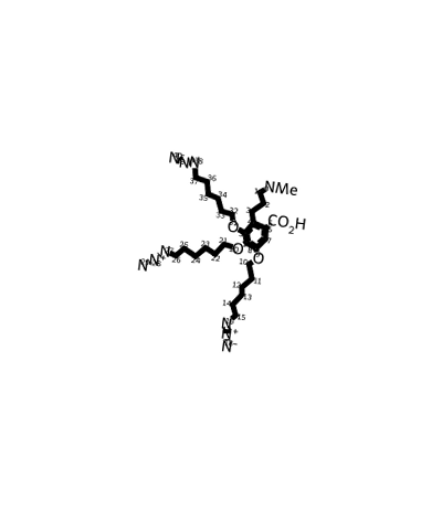 CNCCCc1c(C(=O)O)cc(OCCCCCCN=[N+]=[N-])c(OCCCCCCN=[N+]=[N-])c1OCCCCCCN=[N+]=[N-]